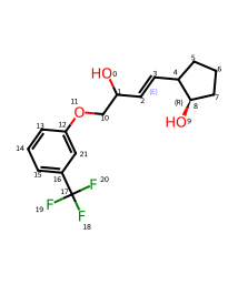 OC(/C=C/C1CCC[C@H]1O)COc1cccc(C(F)(F)F)c1